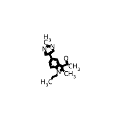 CCCn1c(C)c(C(C)=O)c2cc(-c3cnc(C)nc3)ccc21